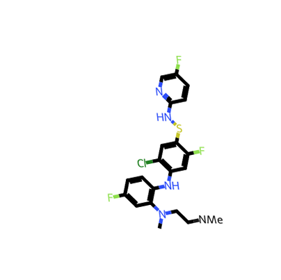 CNCCN(C)c1cc(F)ccc1Nc1cc(F)c(SNc2ccc(F)cn2)cc1Cl